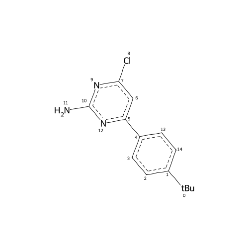 CC(C)(C)c1ccc(-c2cc(Cl)nc(N)n2)cc1